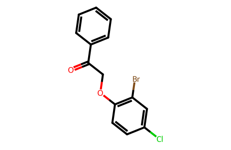 O=C(COc1ccc(Cl)cc1Br)c1ccccc1